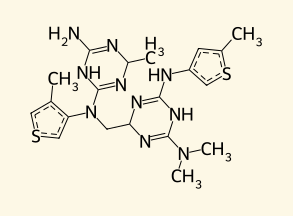 Cc1cc(NC2=NC(CN(C3=NC(C)N=C(N)N3)c3cscc3C)N=C(N(C)C)N2)cs1